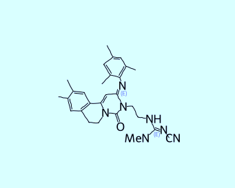 CN/C(=N\C#N)NCCn1c(=O)n2c(c/c1=N\c1c(C)cc(C)cc1C)-c1cc(C)c(C)cc1CC2